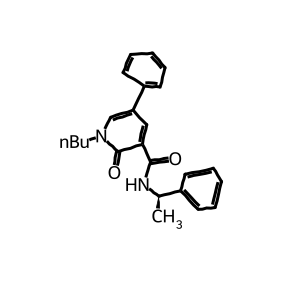 CCCCn1cc(-c2ccccc2)cc(C(=O)N[C@H](C)c2ccccc2)c1=O